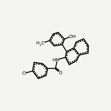 Cc1ccc(O)c(-c2c(NC(=O)c3ccc(Cl)cc3)ccc3ccccc23)c1